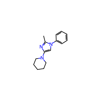 Cc1nc(N2CCCCC2)cn1-c1ccccc1